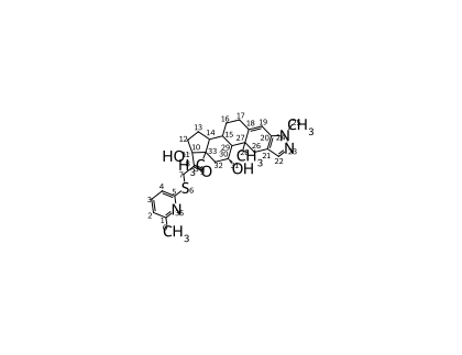 Cc1cccc(SCC(=O)[C@@]2(O)CCC3C4CCC5=Cc6c(cnn6C)CC5(C)C4[C@@H](O)CC32C)n1